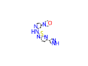 c1cc(N2CCOCC2)cc(Nc2nc3ccc(-c4cn[nH]c4)nc3s2)n1